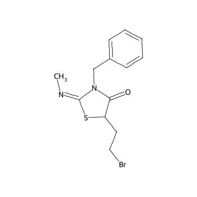 C/N=C1/SC(CCBr)C(=O)N1Cc1ccccc1